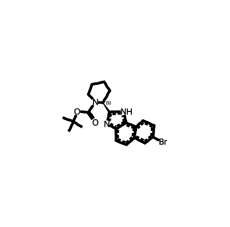 CC(C)(C)OC(=O)N1CCCC[C@H]1c1nc2ccc3cc(Br)ccc3c2[nH]1